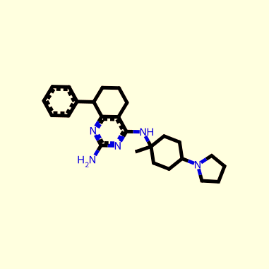 CC1(Nc2nc(N)nc3c2CCCC3c2ccccc2)CCC(N2CCCC2)CC1